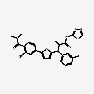 CC(C(=O)Nc1nncs1)C(c1cccc(F)c1)c1ccc(-c2ccc(C(=O)N(C)C)c(Cl)c2)s1